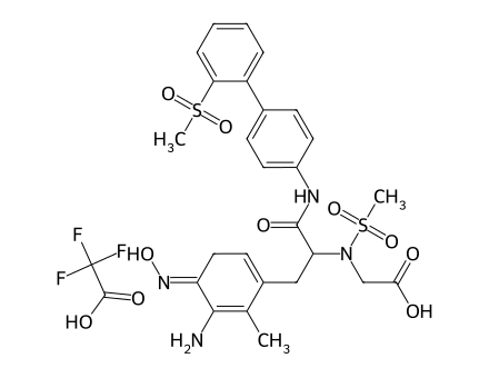 CC1=C(N)C(=NO)CC=C1CC(C(=O)Nc1ccc(-c2ccccc2S(C)(=O)=O)cc1)N(CC(=O)O)S(C)(=O)=O.O=C(O)C(F)(F)F